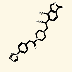 COC(CN1CCN(C(=O)Cc2ccc(-n3cnnn3)cc2)CC1)c1ccc2c(c1C)COC2=O